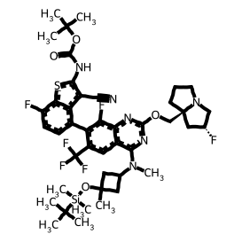 CN(c1nc(OC[C@@]23CCCN2C[C@H](F)C3)nc2c(F)c(-c3ccc(F)c4sc(NC(=O)OC(C)(C)C)c(C#N)c34)c(C(F)(F)F)cc12)C1CC(C)(O[Si](C)(C)C(C)(C)C)C1